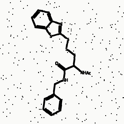 CC(=O)NC(CSSc1nc2ccccc2s1)C(=O)NCc1ccccc1